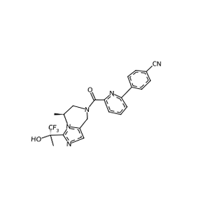 C[C@H]1CN(C(=O)c2cccc(-c3ccc(C#N)cc3)n2)Cc2cnc([C@@](C)(O)C(F)(F)F)n21